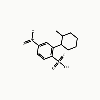 CC1CCCCC1c1cc([N+](=O)[O-])ccc1S(=O)(=O)O